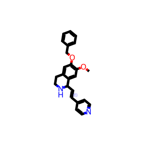 COc1cc2c(cc1OCc1ccccc1)CCNC2/C=C/c1ccncc1